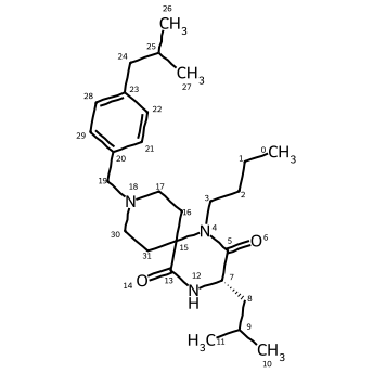 CCCCN1C(=O)[C@H](CC(C)C)NC(=O)C12CCN(Cc1ccc(CC(C)C)cc1)CC2